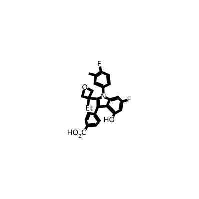 CCC1(c2c(-c3ccc(C(=O)O)cc3)c3c(O)cc(F)cc3n2-c2ccc(F)c(C)c2)COC1